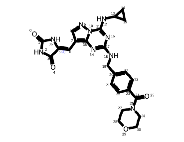 O=C1NC(=O)/C(=C/c2cnn3c(NC4CC4)nc(NCc4ccc(C(=O)N5CCOCC5)cc4)nc23)N1